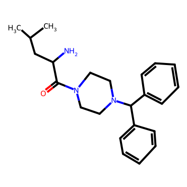 CC(C)CC(N)C(=O)N1CCN(C(c2ccccc2)c2ccccc2)CC1